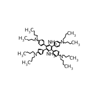 CCCCN(CCCC)c1ccc(-c2c(N)c(-c3ccc(N(CCCC)CCCC)cc3)c(-c3ccc(N(CCCC)CCCC)cc3)c(N)c2-c2ccc(N(CCCC)CCCC)cc2)cc1